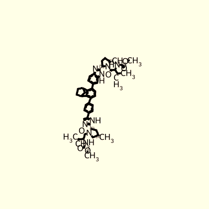 COC(=O)NC(C(=O)N1C[C@@H](C)C[C@H]1c1ncc(-c2ccc(-c3ccc(-c4ccc5nc([C@@H]6CC[C@H](C)N6C(=O)C(NC(=O)OC)C(C)C)[nH]c5c4)c4c3C3CCC4C3)cc2)[nH]1)C(C)C